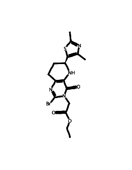 CCOC(=O)Cn1c(Br)nc2c(c1=O)N[C@H](c1sc(C)nc1C)CC2